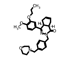 CCCOc1cc(C2=NN(Cc3ccc(CN4CCOCC4)cc3)C(=O)[C@@H]3CC=CC[C@H]23)ccc1OC